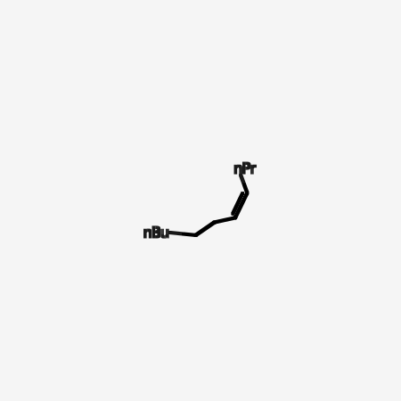 CCC/C=C\CCCCCC